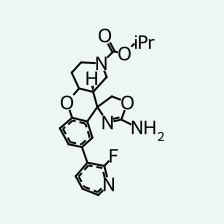 CC(C)OC(=O)N1CCC2Oc3ccc(-c4cccnc4F)cc3C3(COC(N)=N3)[C@H]2C1